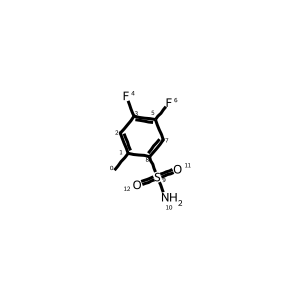 Cc1cc(F)c(F)cc1S(N)(=O)=O